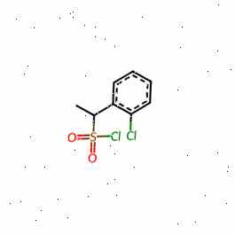 CC(c1ccccc1Cl)S(=O)(=O)Cl